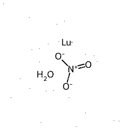 O.O=[N+]([O-])[O-].[Lu]